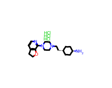 Cl.Cl.Cl.N[C@H]1CC[C@H](CCN2CCN(c3nccc4c3OCC4)CC2)CC1